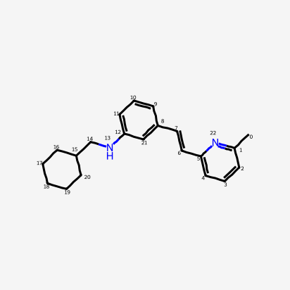 Cc1cccc(C=Cc2cccc(NCC3CCCCC3)c2)n1